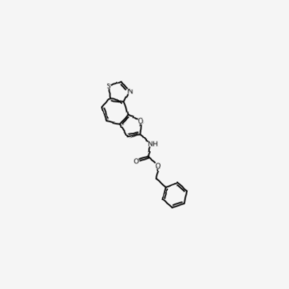 O=C(Nc1cc2ccc3scnc3c2o1)OCc1ccccc1